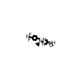 CONc1cnc(N(Cc2ccc(C(F)(F)F)cc2)C2CC2)nc1